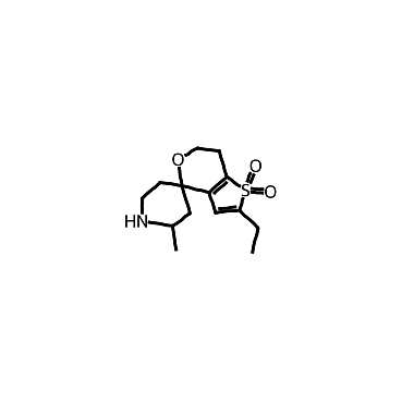 CCC1=CC2=C(CCOC23CCNC(C)C3)S1(=O)=O